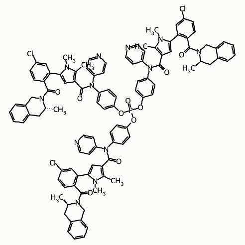 Cc1c(C(=O)N(c2ccncc2)c2ccc(OP(=O)(Oc3ccc(N(C(=O)c4cc(-c5cc(Cl)ccc5C(=O)N5Cc6ccccc6C[C@H]5C)n(C)c4C)c4ccncc4)cc3)Oc3ccc(N(C(=O)c4cc(-c5cc(Cl)ccc5C(=O)N5Cc6ccccc6C[C@H]5C)n(C)c4C)c4ccncc4)cc3)cc2)cc(-c2cc(Cl)ccc2C(=O)N2Cc3ccccc3C[C@H]2C)n1C